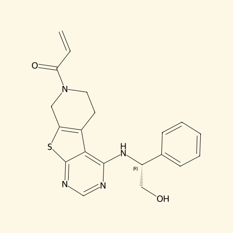 C=CC(=O)N1CCc2c(sc3ncnc(N[C@@H](CO)c4ccccc4)c23)C1